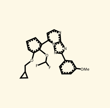 COc1cccc(-c2nc3nccc(-c4cccc(OCC5CC5)c4OC(F)F)n3n2)c1